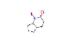 O=C1CCC2CCCC2N1I